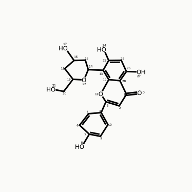 O=c1cc(-c2ccc(O)cc2)oc2c(C3CC(O)CC(CO)O3)c(O)cc(O)c12